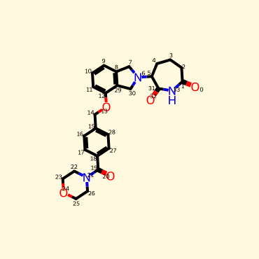 O=C1CCCC(N2Cc3cccc(OCc4ccc(C(=O)N5CCOCC5)cc4)c3C2)C(=O)N1